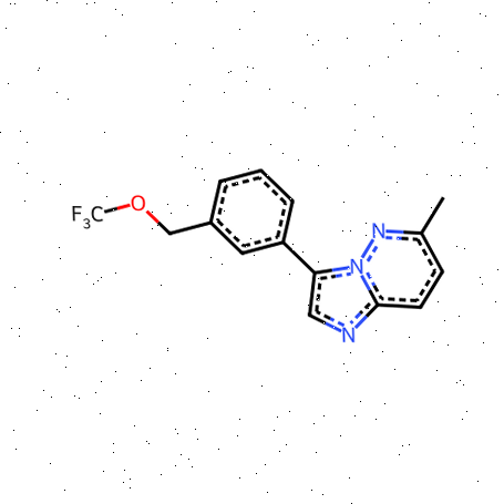 Cc1ccc2ncc(-c3cccc(COC(F)(F)F)c3)n2n1